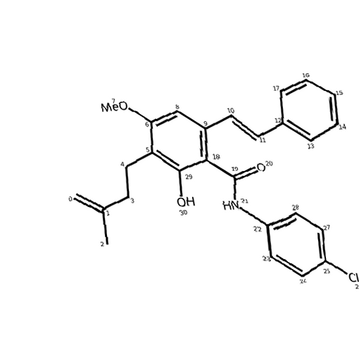 C=C(C)CCc1c(OC)cc(/C=C/c2ccccc2)c(C(=O)Nc2ccc(Cl)cc2)c1O